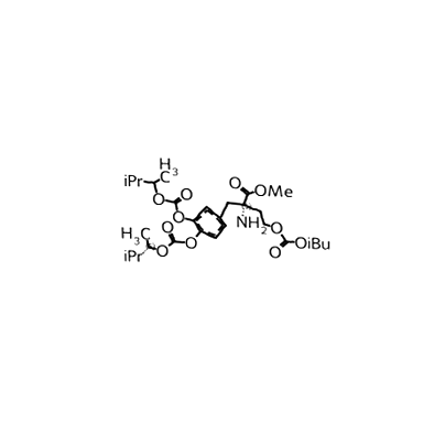 COC(=O)[C@@](N)(CCOC(=O)OCC(C)C)Cc1ccc(OC(=O)O[C@@H](C)C(C)C)c(OC(=O)OC(C)C(C)C)c1